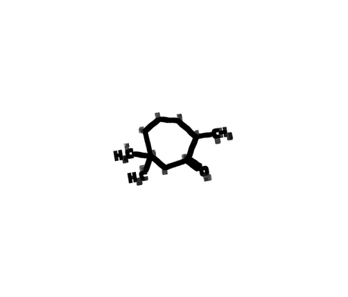 CC1CCCC(C)(C)CC1=O